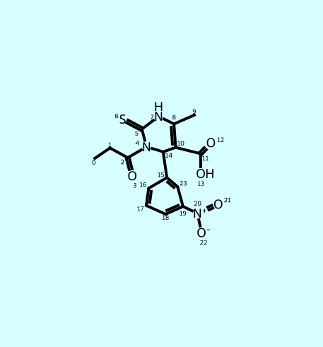 CCC(=O)N1C(=S)NC(C)=C(C(=O)O)C1c1cccc([N+](=O)[O-])c1